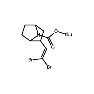 CC(C)(C)OC(=O)N1C2CCC1C(C=C(Br)Br)C2